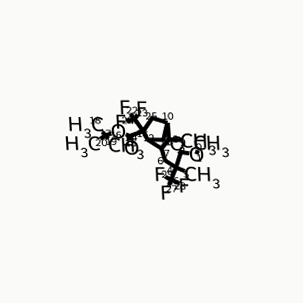 COC(=O)C(C)(CC1C(C)C2CC1C(C(=O)OC(C)(C)C)(C(F)(F)F)C2)C(F)(F)F